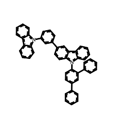 c1ccc(-c2ccc(-n3c4ccccc4c4cc(-c5cccc(-n6c7ccccc7c7ccccc76)c5)ccc43)c(-c3ccccc3)c2)cc1